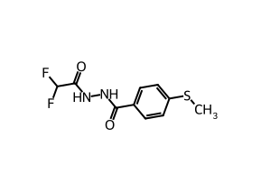 CSc1ccc(C(=O)NNC(=O)C(F)F)cc1